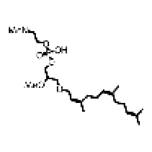 CNCCOP(=O)(O)OCC(COCC=C(C)CCC=C(C)CCC=C(C)C)OC